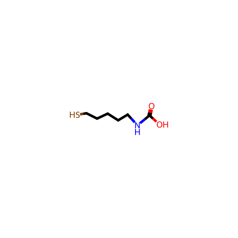 O=C(O)NCCCCCS